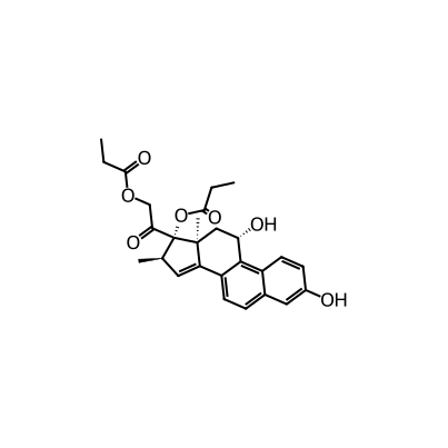 CCC(=O)OCC(=O)[C@]1(OC(=O)CC)[C@H](C)C=C2c3ccc4cc(O)ccc4c3[C@@H](O)C[C@@]21C